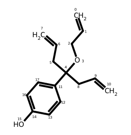 C=CCOC(CC=C)(CC=C)c1ccc(O)cc1